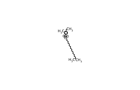 CCc1ccc(S(=O)(=O)OCCCCCCCCCCCCCCCC(C)C)cc1C